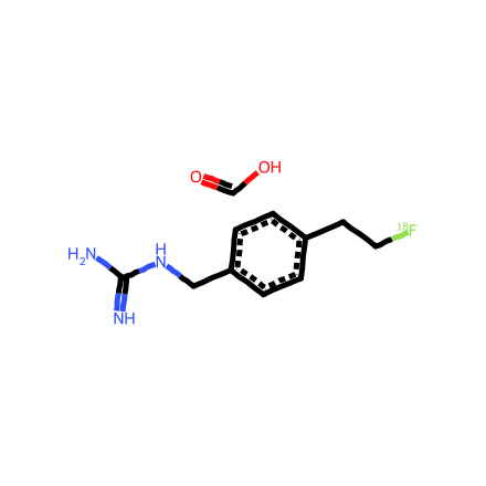 N=C(N)NCc1ccc(CC[18F])cc1.O=CO